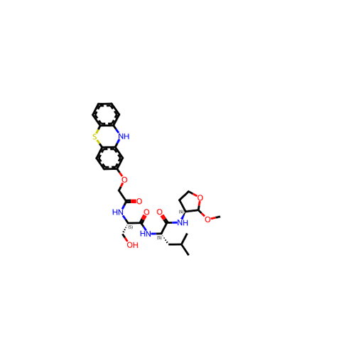 COC1OCC[C@@H]1NC(=O)[C@H](CC(C)C)NC(=O)[C@H](CO)NC(=O)COc1ccc2c(c1)Nc1ccccc1S2